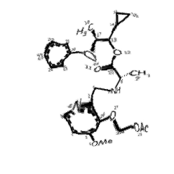 COc1ccnc(CN[C@@H](C)C(=O)OC(C2CC2)[C@H](C)Oc2ccccc2)c1OCOC(C)=O